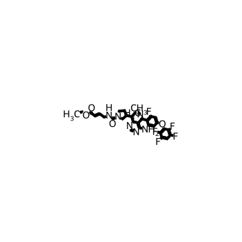 CCOC(=O)/C=C/CNC(=O)N1CCC(C(CC)c2ncnc(N)c2/C(=N\C)c2ccc(Oc3c(F)c(F)cc(F)c3F)cc2F)C1